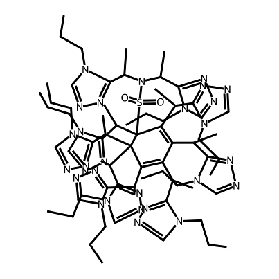 CCCn1cnnc1C(C)C1=C(C(C)c2nncn2CCC)C(C(C)c2nncn2CCC)(C(C)c2nncn2CCC)C(C(C)c2nncn2CCC)(S(=O)(=O)N(C(C)c2nncn2CCC)C(C)c2nncn2CCC)C(C(C)c2nncn2CCC)=C1C(C)c1nncn1CCC